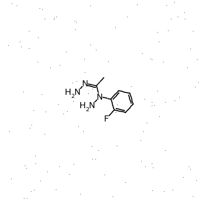 C/C(=N/N)N(N)c1ccccc1F